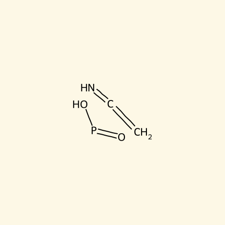 C=C=N.O=PO